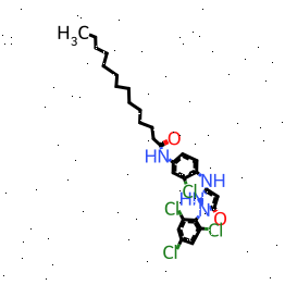 CCCCCCCCCCCCCC(=O)Nc1ccc(Nc2cc(=O)n(-c3c(Cl)cc(Cl)cc3Cl)[nH]2)c(Cl)c1